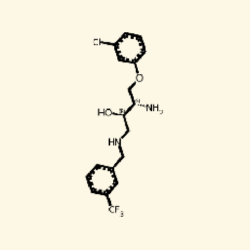 N[C@@H](COc1cccc(Cl)c1)[C@H](O)CNCc1cccc(C(F)(F)F)c1